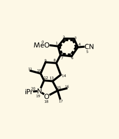 COc1ccc(C#N)cc1C1CC(C)C2C(C1)C(C)(C)ON2C(C)C